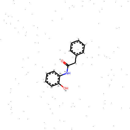 O=C(Cc1ccccc1)Nc1ccccc1O